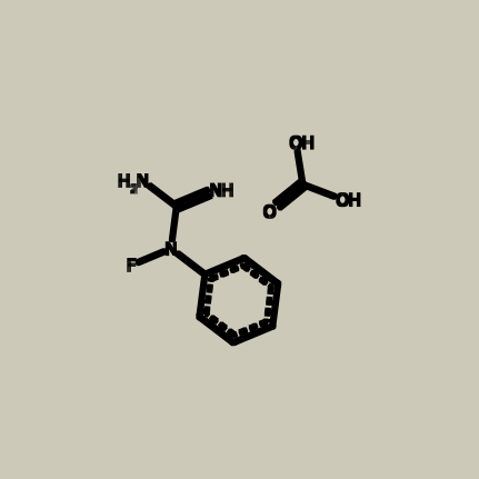 N=C(N)N(F)c1ccccc1.O=C(O)O